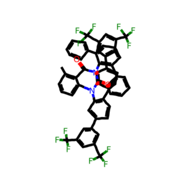 Cc1cccc(-n2c3cc(-c4cc(C(F)(F)F)cc(C(F)(F)F)c4)ccc3c3ccc(-c4cc(C(F)(F)F)cc(C(F)(F)F)c4)cc32)c1C(=O)N(C=O)c1c(-c2ccccc2)cccc1-c1ccccc1